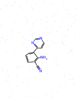 N#Cc1cccc(-c2ccncn2)c1N